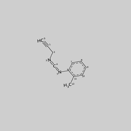 C#CCN=C=Nc1ccccc1C